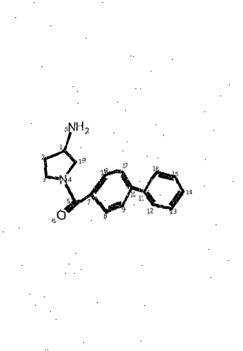 NC1CCN(C(=O)c2ccc(-c3ccccc3)cc2)C1